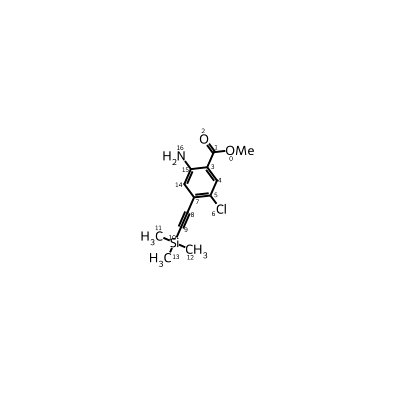 COC(=O)c1cc(Cl)c(C#C[Si](C)(C)C)cc1N